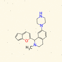 CN1CCc2ccc(N3CCNCC3)cc2C1c1ccc2cccc-2o1